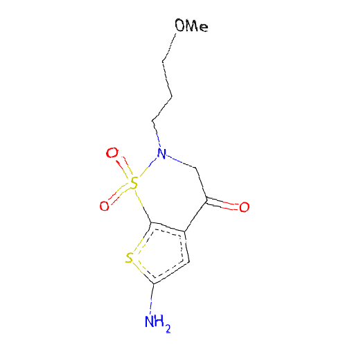 COCCCN1CC(=O)c2cc(N)sc2S1(=O)=O